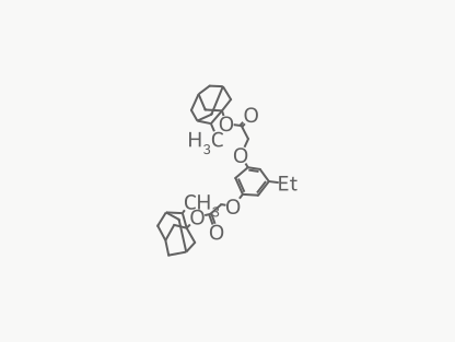 CCc1cc(OCC(=O)OC23CC4CC(CC(C4)C2C)C3)cc(OCC(=O)OC23CC4CC(CC(C4)C2C)C3)c1